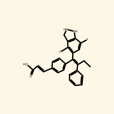 CC/C(=C(/c1ccc(/C=C/C(=O)O)cc1)c1cc(F)c2c(c1F)CNN2)c1ccccc1